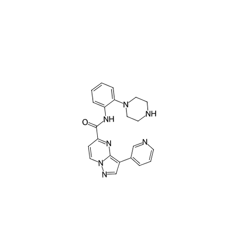 O=C(Nc1ccccc1N1CCNCC1)c1ccn2ncc(-c3cccnc3)c2n1